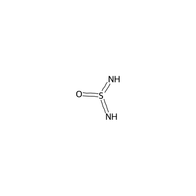 N=S(=N)=O